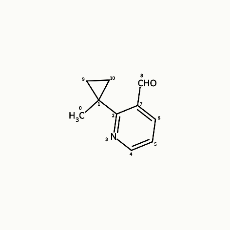 CC1(c2ncccc2C=O)CC1